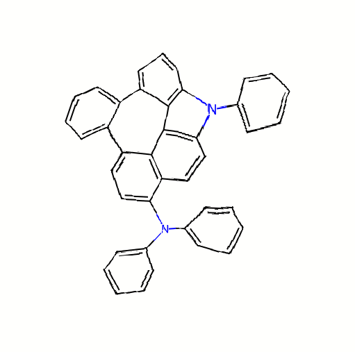 c1ccc(N(c2ccccc2)c2ccc3c4c2ccc2c4c4c(cccc4n2-c2ccccc2)-c2ccccc2-3)cc1